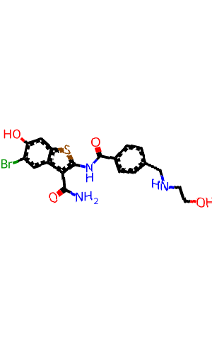 NC(=O)c1c(NC(=O)c2ccc(CNCCO)cc2)sc2cc(O)c(Br)cc12